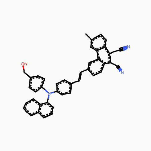 Cc1ccc2c(C#N)c(C#N)c3ccc(/C=C/c4ccc(N(c5ccc(CO)cc5)c5cccc6ccccc56)cc4)cc3c2c1